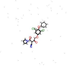 N#CC(C(=O)COc1cc(Cl)c(OC2CCCCC2)c(Cl)c1)C(=O)n1cccc1